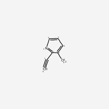 C#Cc1ncccc1C(F)(F)F